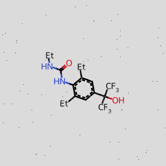 CCNC(=O)Nc1c(CC)cc(C(O)(C(F)(F)F)C(F)(F)F)cc1CC